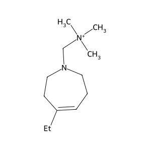 CCC1=CCCN(C[N+](C)(C)C)CC1